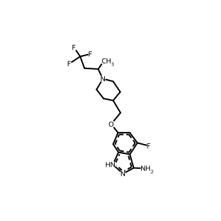 CC(CC(F)(F)F)N1CCC(COc2cc(F)c3c(N)n[nH]c3c2)CC1